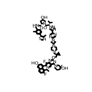 CCc1c(F)ccc2cc(O)cc(-c3ncc4c(N5CCC[C@@](C)(O)C5)nc(OCC5(CN6CCN(C7CN(c8cnc(-c9cn([C@H](C(=O)N%10C[C@H](O)C[C@H]%10C(=O)N[C@@H](C)c%10ccc(-c%11scnc%11C)cc%10C)C(C)C)nn9)cn8)C7)CC6)CC5)nc4c3F)c12